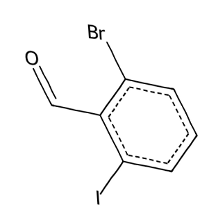 O=Cc1c(Br)cccc1I